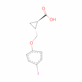 O=C(O)[C@@H]1C[C@H]1COc1ccc(I)cc1